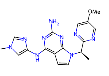 COc1cnc([C@@H](C)n2ccc3c(Nc4cn(C)cn4)nc(N)nc32)nc1